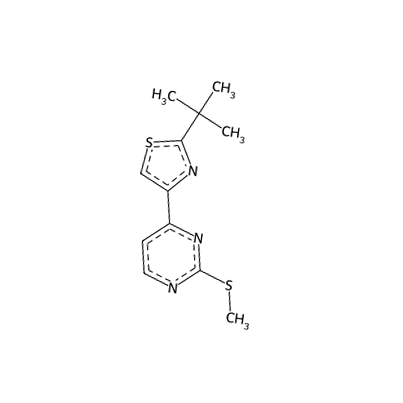 CSc1nccc(-c2csc(C(C)(C)C)n2)n1